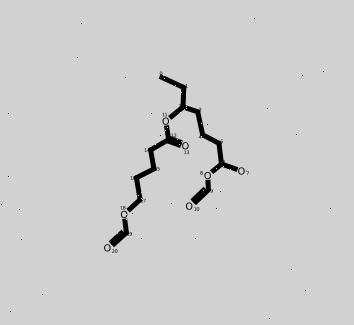 CCC(CCCC([O])OC=O)OC(=O)CCCCOC=O